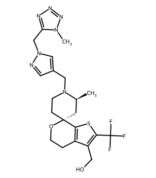 C[C@H]1C[C@@]2(CCN1Cc1cnn(Cc3nnnn3C)c1)OCCc1c2sc(C(F)(F)F)c1CO